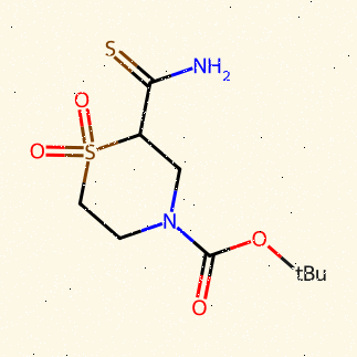 CC(C)(C)OC(=O)N1CCS(=O)(=O)C(C(N)=S)C1